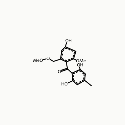 COOCc1cc(O)cc(OC)c1C(=O)c1c(O)cc(C)cc1O